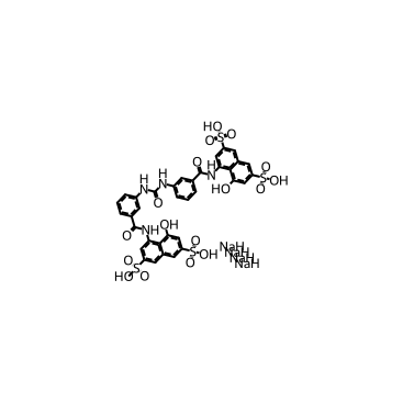 O=C(Nc1cccc(C(=O)Nc2cc(S(=O)(=O)O)cc3cc(S(=O)(=O)O)cc(O)c23)c1)Nc1cccc(C(=O)Nc2cc(S(=O)(=O)O)cc3cc(S(=O)(=O)O)cc(O)c23)c1.[NaH].[NaH].[NaH].[NaH]